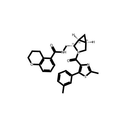 Cc1cccc(-c2sc(C)nc2C(=O)N2C[C@@H]3C[C@@H]3[C@H]2CNC(=O)c2cccc3c2CCCO3)c1